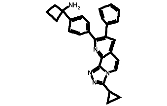 NC1(c2ccc(-c3nc4c(ccn5c(C6CC6)nnc45)cc3-c3ccccc3)cc2)CCC1